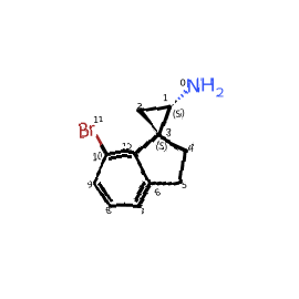 N[C@H]1C[C@]12CCc1cccc(Br)c12